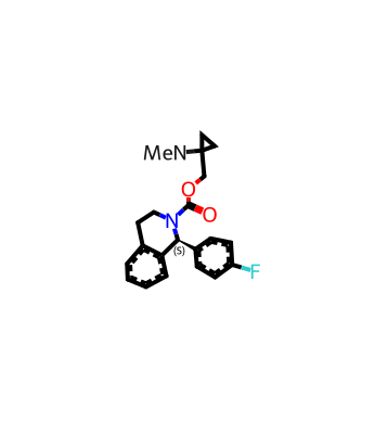 CNC1(COC(=O)N2CCc3ccccc3[C@@H]2c2ccc(F)cc2)CC1